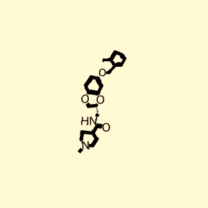 Cc1ccccc1COc1ccc2c(c1)O[C@H](CNC(=O)C1CCN(C)CC1)CO2